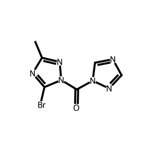 Cc1nc(Br)n(C(=O)n2cncn2)n1